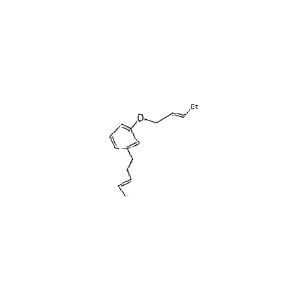 [CH2]/C=C/CCc1cccc(OC/C=C/CC)c1